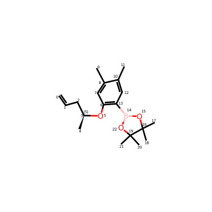 C=CC[C@H](C)Oc1cc(C)c(C)cc1B1OC(C)(C)C(C)(C)O1